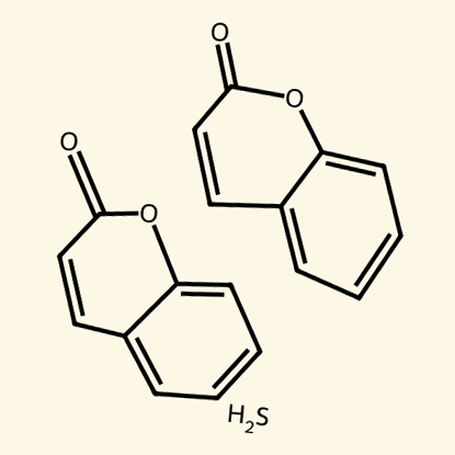 O=c1ccc2ccccc2o1.O=c1ccc2ccccc2o1.S